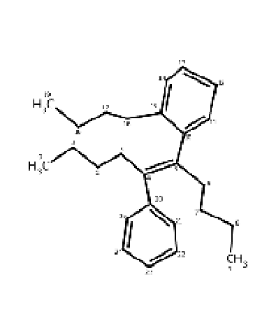 CCCCC(=C(CCCC)c1ccccc1CCCC)c1ccccc1